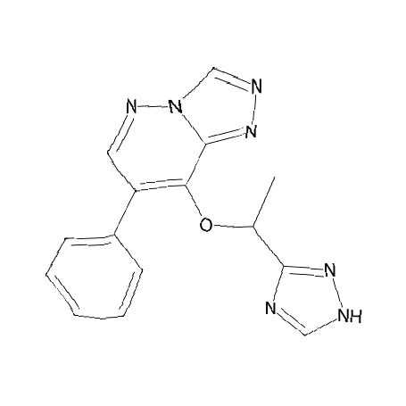 CC(Oc1c(-c2ccccc2)cnn2cnnc12)c1nc[nH]n1